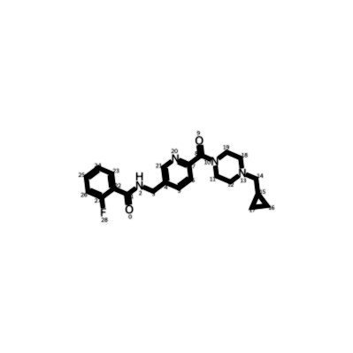 O=C(NCc1ccc(C(=O)N2CCN(CC3CC3)CC2)nc1)c1ccccc1F